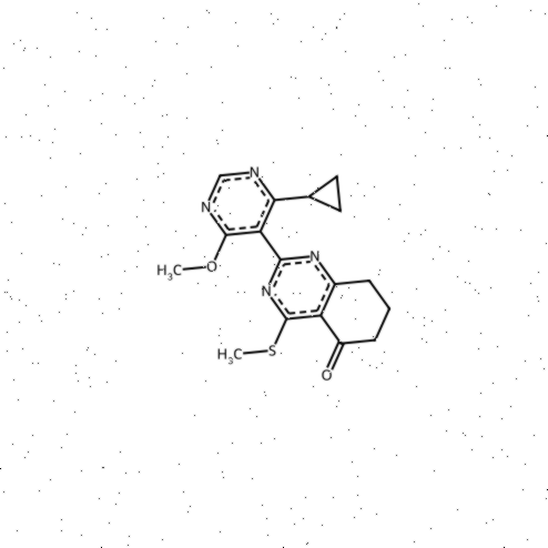 COc1ncnc(C2CC2)c1-c1nc2c(c(SC)n1)C(=O)CCC2